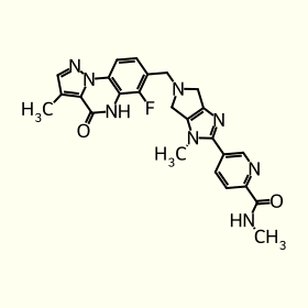 CNC(=O)c1ccc(-c2nc3c(n2C)CN(Cc2ccc4c([nH]c(=O)c5c(C)cnn54)c2F)C3)cn1